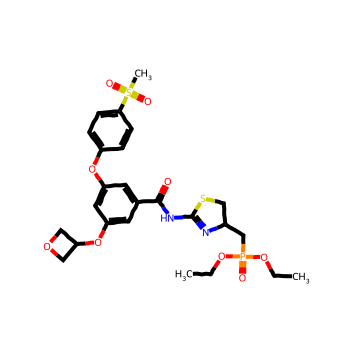 CCOP(=O)(CC1CSC(NC(=O)c2cc(Oc3ccc(S(C)(=O)=O)cc3)cc(OC3COC3)c2)=N1)OCC